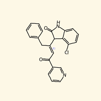 O=C(/C=C(\Cc1ccccc1)C1C(=O)Nc2cccc(Cl)c21)c1cccnc1